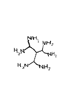 NC(N)C(C(N)N)C(N)N